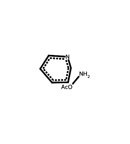 CC(=O)ON.c1ccncc1